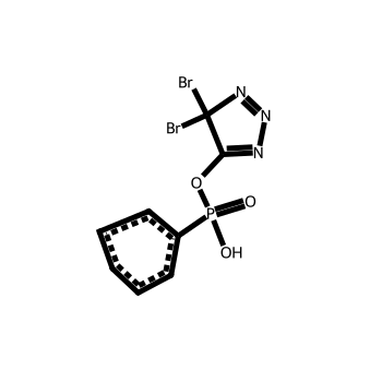 O=P(O)(OC1=NN=NC1(Br)Br)c1ccccc1